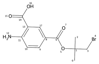 CC(C)(CBr)OC(=O)c1ccc(N)c(C(=O)O)c1